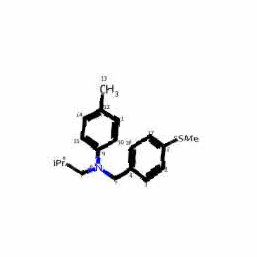 CSc1ccc(CN(CC(C)C)c2ccc(C)cc2)cc1